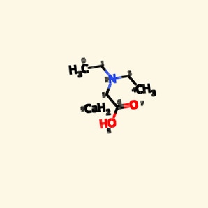 CCN(CC)CC(=O)O.[CaH2]